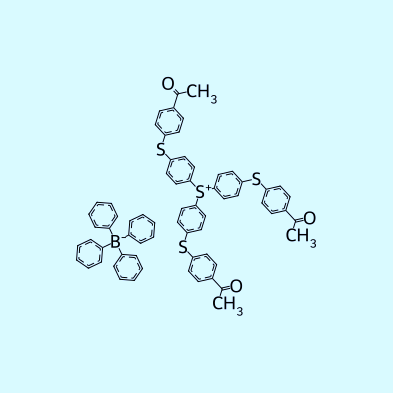 CC(=O)c1ccc(Sc2ccc([S+](c3ccc(Sc4ccc(C(C)=O)cc4)cc3)c3ccc(Sc4ccc(C(C)=O)cc4)cc3)cc2)cc1.c1ccc([B-](c2ccccc2)(c2ccccc2)c2ccccc2)cc1